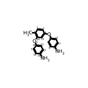 Cc1ccc(Oc2ccc(N)cc2)cc1Oc1ccc(N)cc1